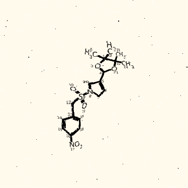 CC1(C)OC(C2=CCN(S(=O)(=O)Cc3ccc([N+](=O)[O-])cc3)C2)OC1(C)C